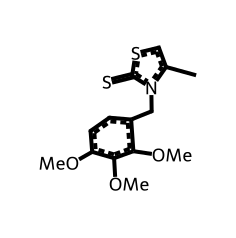 COc1ccc(Cn2c(C)csc2=S)c(OC)c1OC